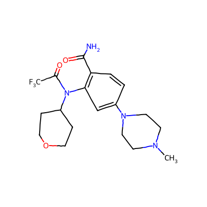 CN1CCN(c2ccc(C(N)=O)c(N(C(=O)C(F)(F)F)C3CCOCC3)c2)CC1